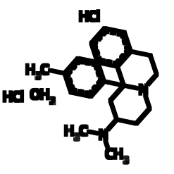 Cc1ccc(C23CC(N(C)C)CCN2CCc2ccccc23)cc1.Cl.Cl.O